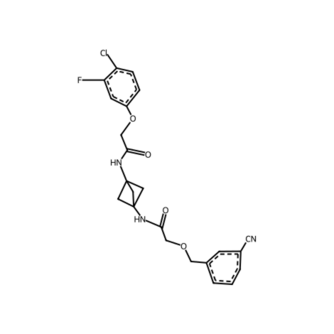 N#Cc1cccc(COCC(=O)NC23CC(NC(=O)COc4ccc(Cl)c(F)c4)(C2)C3)c1